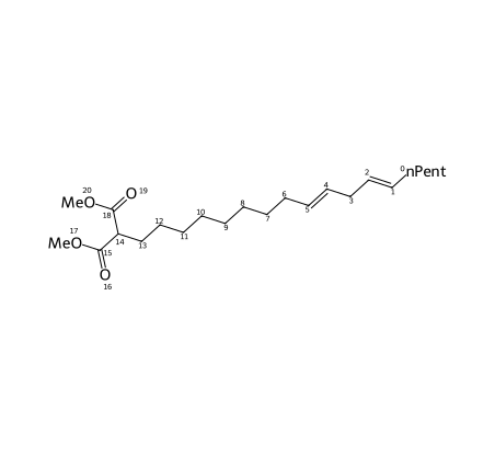 CCCCCC=CCC=CCCCCCCCCC(C(=O)OC)C(=O)OC